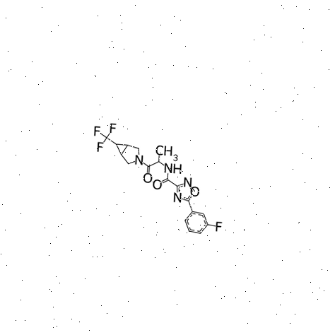 CC(NC(=O)c1noc(-c2cccc(F)c2)n1)C(=O)N1CC2C(C1)C2C(F)(F)F